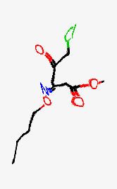 CCCCON=C(C(=O)CCl)C(=O)OC